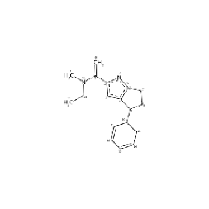 C=C(c1cc2n(n1)CCC2C1C=CC=CC1)N(C)CC